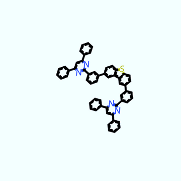 c1ccc(-c2cc(-c3ccccc3)nc(-c3cccc(-c4ccc5sc6ccc(-c7cccc(-c8nc(-c9ccccc9)cc(-c9ccccc9)n8)c7)cc6c5c4)c3)n2)cc1